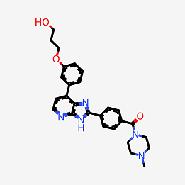 CN1CCN(C(=O)c2ccc(-c3nc4c(-c5cccc(OCCCO)c5)ccnc4[nH]3)cc2)CC1